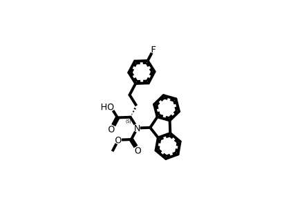 COC(=O)N(C1c2ccccc2-c2ccccc21)[C@@H](CCc1ccc(F)cc1)C(=O)O